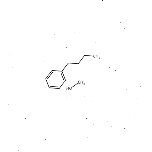 CCCCc1ccccc1.CO